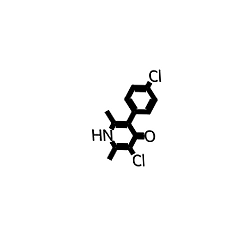 Cc1[nH]c(C)c(-c2ccc(Cl)cc2)c(=O)c1Cl